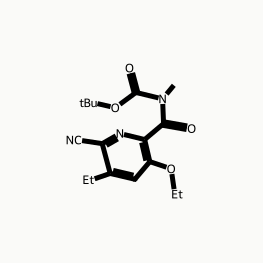 CCOc1cc(CC)c(C#N)nc1C(=O)N(C)C(=O)OC(C)(C)C